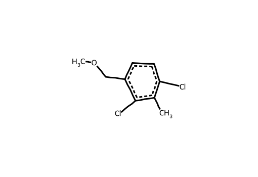 COCc1ccc(Cl)c(C)c1Cl